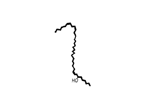 CCCCC/C=C\C/C=C\CCCCCCCC[CH]CCCCCCC/C=C\C[C@H](O)CCCCCC